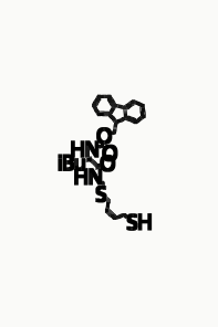 CC[C@H](C)[C@H](NC(=O)OCC1c2ccccc2-c2ccccc21)C(=O)NCSC/C=C\CS